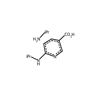 CC(C)N.CC(C)Nc1ccc(C(=O)O)cn1